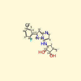 [CH2][C@@H]1C[C@@H](Nc2ccnc3cc(-c4cc(C(F)(F)F)ccc4F)nn23)C(O)C1O